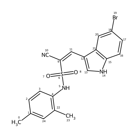 Cc1ccc(NS(=O)(=O)C(C#N)=Cc2c[nH]c3ccc(Br)cc23)c(C)c1